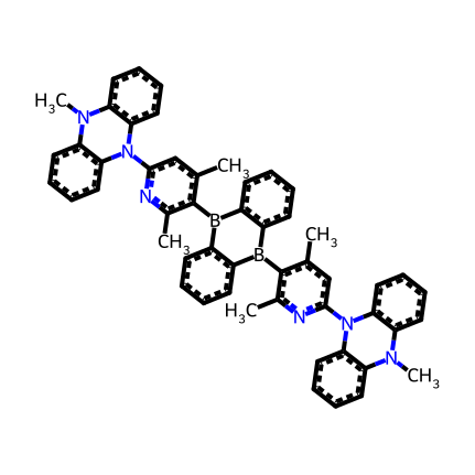 Cc1cc(N2c3ccccc3N(C)c3ccccc32)nc(C)c1B1c2ccccc2B(c2c(C)cc(N3c4ccccc4N(C)c4ccccc43)nc2C)c2ccccc21